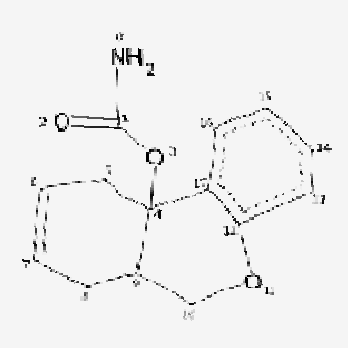 NC(=O)OC12CC=CCC1COc1ccccc12